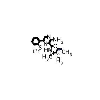 C/C=C\C(C)N(C)NC(=O)c1nc(-c2ccccc2SC(C)C)cnc1N